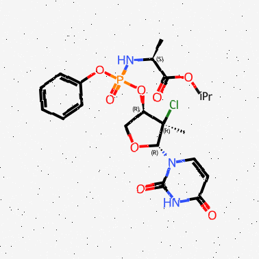 CC(C)OC(=O)[C@H](C)NP(=O)(Oc1ccccc1)O[C@@H]1CO[C@@H](n2ccc(=O)[nH]c2=O)[C@]1(C)Cl